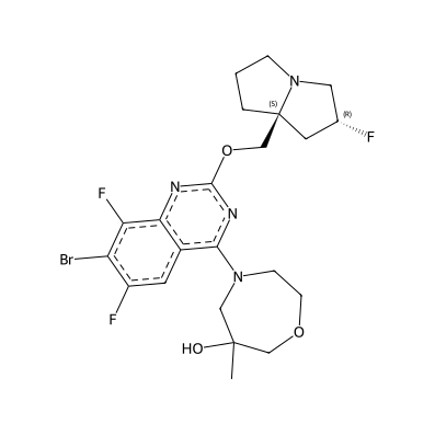 CC1(O)COCCN(c2nc(OC[C@@]34CCCN3C[C@H](F)C4)nc3c(F)c(Br)c(F)cc23)C1